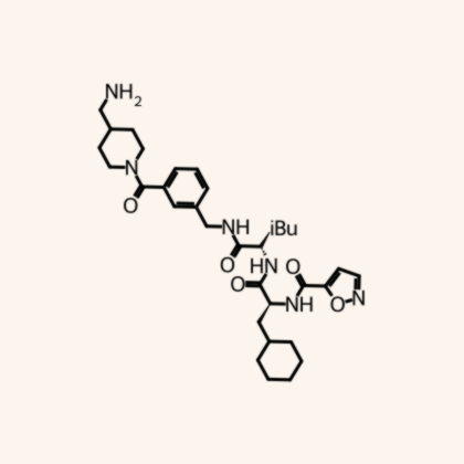 CC[C@H](C)[C@H](NC(=O)[C@H](CC1CCCCC1)NC(=O)c1ccno1)C(=O)NCc1cccc(C(=O)N2CCC(CN)CC2)c1